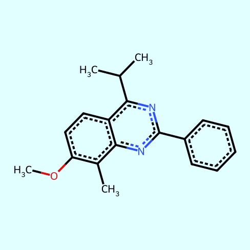 COc1ccc2c(C(C)C)nc(-c3ccccc3)nc2c1C